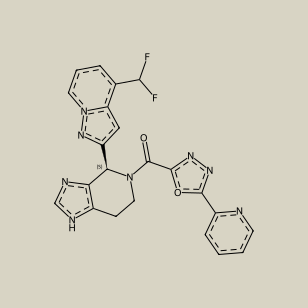 O=C(c1nnc(-c2ccccn2)o1)N1CCc2[nH]cnc2[C@H]1c1cc2c(C(F)F)cccn2n1